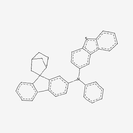 c1ccc(N(c2ccc3c(c2)C2(CC4CCC2C4)c2ccccc2-3)c2ccc3sc4ccccc4c3c2)cc1